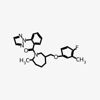 Cc1cc(OCC2CCCC(C)N(C(=O)c3ccccc3-n3nccn3)C2)ccc1F